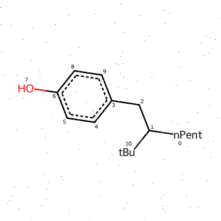 CCCCCC(Cc1ccc(O)cc1)C(C)(C)C